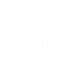 C=CCCCC(CC(C)C=C)=C(CCC)CCC(=C)C